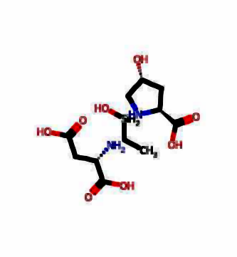 CC[SiH2]O.N[C@@H](CC(=O)O)C(=O)O.O=C(O)[C@@H]1C[C@@H](O)CN1